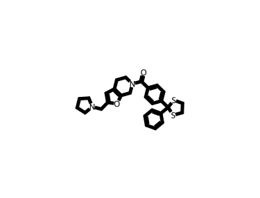 O=C(c1ccc(C2(c3ccccc3)SCCS2)cc1)N1CCc2cc(CN3CCCC3)oc2C1